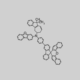 CC1(C)C2=C(CC(N(c3ccc(-c4ccc5c(c4)-c4ccccc4C54c5ccc6ccccc6c5Oc5c4ccc4ccccc54)cc3)c3ccc4c(c3)oc3ccccc34)CC=C2)c2ccccc21